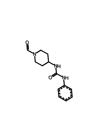 O=CN1CCC(NC(=O)Nc2ccccc2)CC1